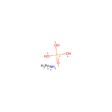 N.O=P(O)(O)O.[PoH2]